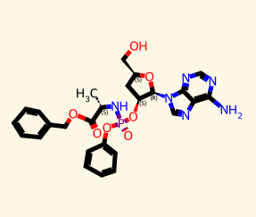 C[C@H](NP(=O)(Oc1ccccc1)O[C@H]1C[C@@H](CO)O[C@H]1n1cnc2c(N)ncnc21)C(=O)OCc1ccccc1